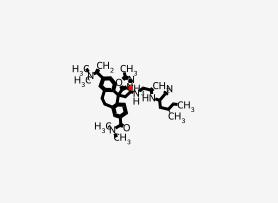 C=C(CN[C@@H](C)CC1(c2nnc(C)o2)c2ccc(C(=C)N(C)C)cc2CCc2cc(C(=O)N(C)C)ccc21)NC(C#N)C[C@@H](C)CC